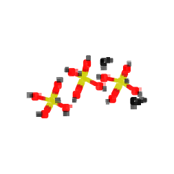 O=S(=O)([O-])[O-].O=S(=O)([O-])[O-].O=S(=O)([O-])[O-].[C+4].[Ca+2]